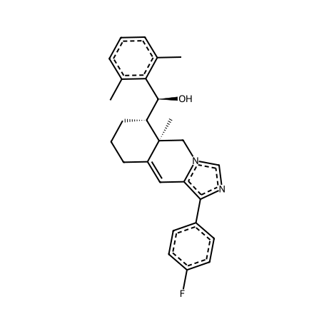 Cc1cccc(C)c1[C@@H](O)[C@H]1CCCC2=Cc3c(-c4ccc(F)cc4)ncn3C[C@@]21C